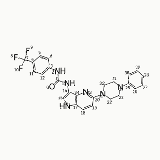 O=C(Nc1ccc(C(F)(F)F)cc1)Nc1c[nH]c2ccc(N3CCN(c4ccccc4)CC3)nc12